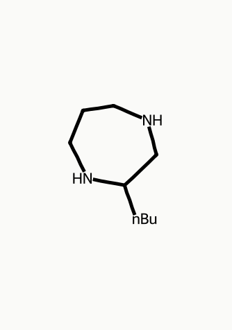 CCCCC1CNCCCN1